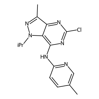 Cc1ccc(Nc2nc(Cl)nc3c(C)nn(C(C)C)c23)nc1